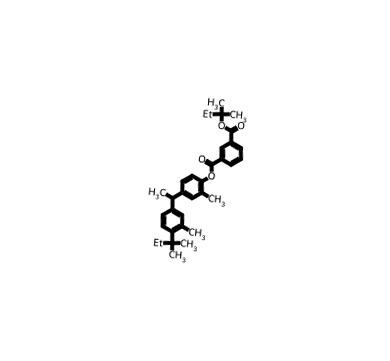 CCC(C)(C)OC(=O)c1cccc(C(=O)Oc2ccc(C(C)c3ccc(C(C)(C)CC)c(C)c3)cc2C)c1